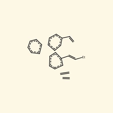 C=C.C=C.C=Cc1ccccc1.CCC=Cc1ccccc1.c1ccccc1